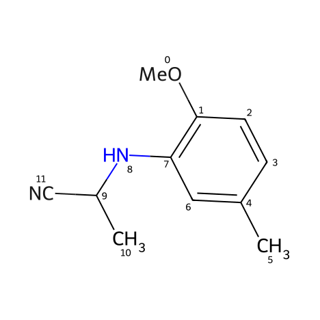 COc1ccc(C)cc1NC(C)C#N